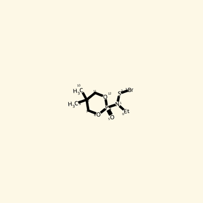 CCN(SBr)P1(=O)OCC(C)(C)CO1